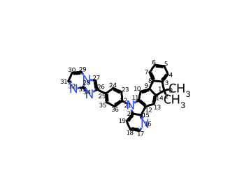 CC1(C)c2ccccc2-c2cc3c(cc21)c1ncccc1n3-c1ccc(-c2cn3cccnc3n2)cc1